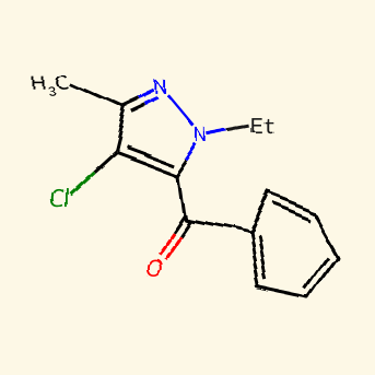 CCn1nc(C)c(Cl)c1C(=O)c1ccccc1